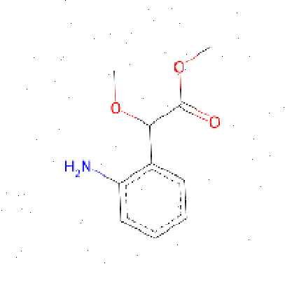 COC(=O)C(OC)c1ccccc1N